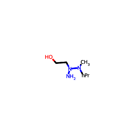 CCCN(C)N(N)CCO